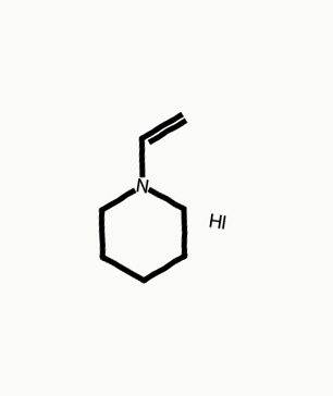 C=CN1CCCCC1.I